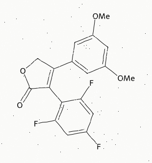 COc1cc(OC)cc(C2=C(c3c(F)cc(F)cc3F)C(=O)OC2)c1